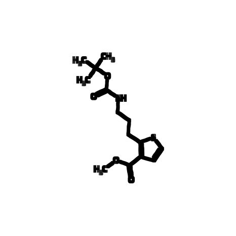 COC(=O)c1ccsc1CCCNC(=O)OC(C)(C)C